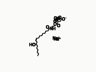 CCCCCC[C@@H](O)C/C=C\CCCCCCCC(=O)NCCOC(=O)C(CC(=O)[O-])S(=O)(=O)[O-].[Na+].[Na+]